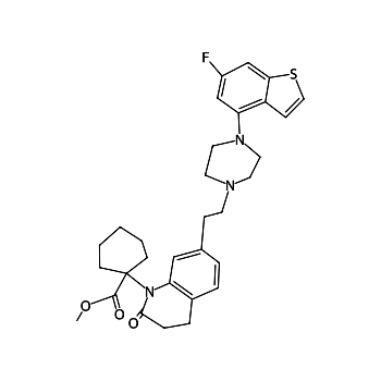 COC(=O)C1(N2C(=O)CCc3ccc(CCN4CCN(c5cc(F)cc6sccc56)CC4)cc32)CCCCC1